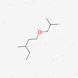 [CH2]C(C)COCCC(C)CC